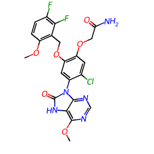 COc1ccc(F)c(F)c1COc1cc(-n2c(=O)[nH]c3c(OC)ncnc32)c(Cl)cc1OCC(N)=O